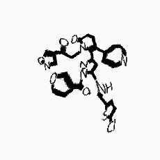 O=C(Cn1c(-c2cc(NCc3ccc(Cl)s3)n(C(=O)c3ccoc3)n2)c(-c2ccncc2)ccc1=O)c1cnoc1